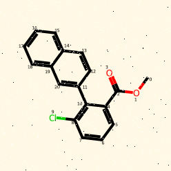 COC(=O)c1cccc(Cl)c1-c1ccc2ccccc2c1